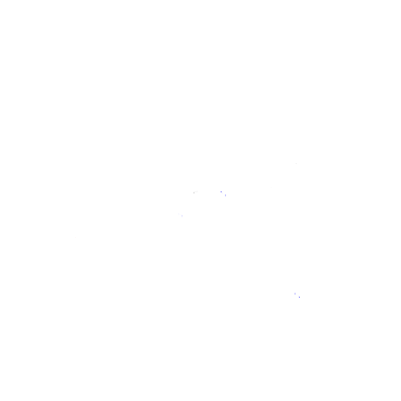 COc1ccccc1CCn1c(=O)n(C2CCC(O)CC2)c2ccc(C#N)cc21